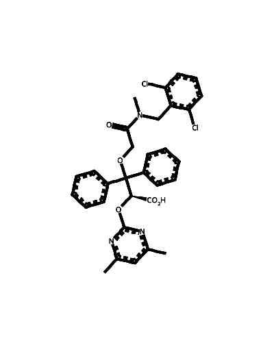 Cc1cc(C)nc(O[C@H](C(=O)O)C(OCC(=O)N(C)Cc2c(Cl)cccc2Cl)(c2ccccc2)c2ccccc2)n1